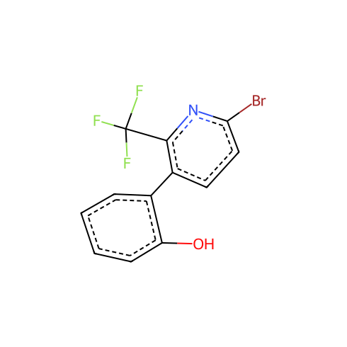 Oc1ccccc1-c1ccc(Br)nc1C(F)(F)F